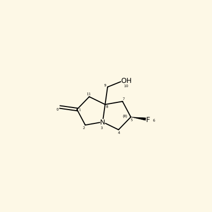 C=C1CN2C[C@H](F)CC2(CO)C1